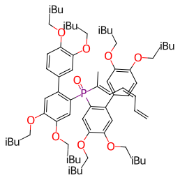 C=C/C=C\C=C(/C)P(=O)(c1cc(OCC(C)CC)c(OCC(C)CC)cc1-c1ccc(OCC(C)CC)c(OCC(C)CC)c1)c1cc(OCC(C)CC)c(OCC(C)CC)cc1-c1ccc(OCC(C)CC)c(OCC(C)CC)c1